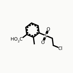 Cc1c(C(=O)O)cccc1S(=O)(=O)CCCl